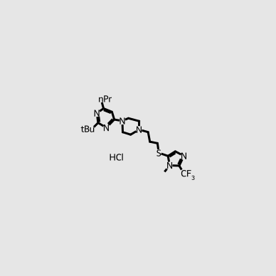 CCCc1cc(N2CCN(CCCSc3cnc(C(F)(F)F)n3C)CC2)nc(C(C)(C)C)n1.Cl